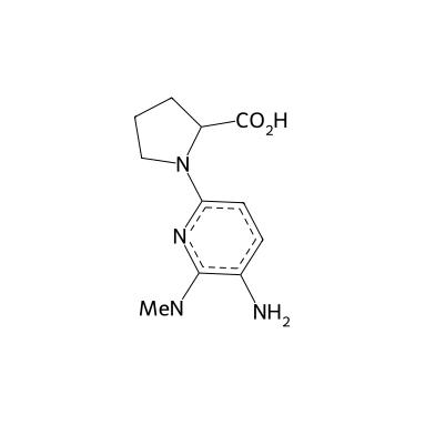 CNc1nc(N2CCCC2C(=O)O)ccc1N